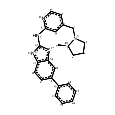 C[C@@H]1CCCN1Cc1ccnc(Nc2nc3ccc(-c4ccccc4)cc3s2)c1